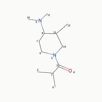 CC(C)C(=O)N1CCC(N(C)C)C(C)C1